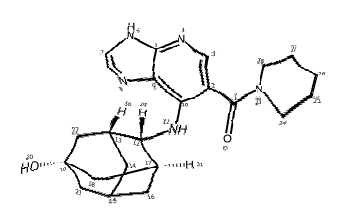 O=C(c1cnc2[nH]cnc2c1N[C@H]1[C@@H]2CC3C[C@H]1C[C@@](O)(C3)C2)N1CCCCC1